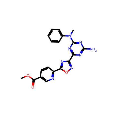 COC(=O)c1ccc(-c2nc(-c3nc(N)nc(N(C)c4ccccc4)n3)no2)nc1